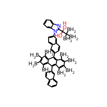 Bc1c(B)c(B)c2c(-c3ccc4cc(-n5c(C(O)(O)C(B)(B)B)nc6ccccc65)ccc4c3)c3c(B)c(B)c(B)c(B)c3c(-c3ccc4ccccc4c3)c2c1B